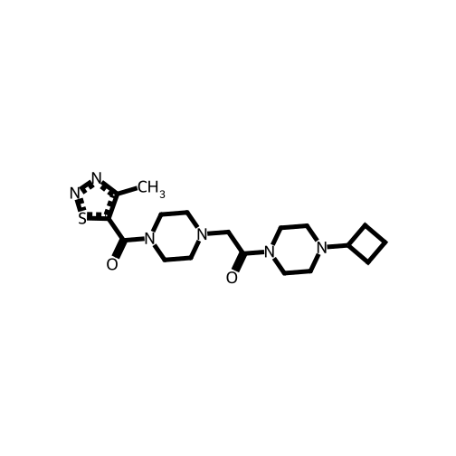 Cc1nnsc1C(=O)N1CCN(CC(=O)N2CCN(C3CCC3)CC2)CC1